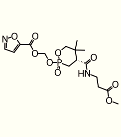 COC(=O)CCNC(=O)[C@@H]1CP(=O)(OCOC(=O)c2ccno2)OCC1(C)C